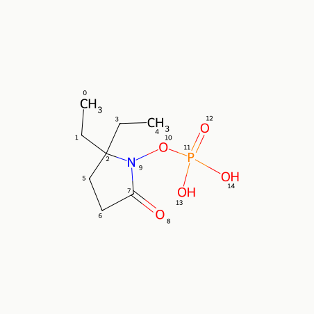 CCC1(CC)CCC(=O)N1OP(=O)(O)O